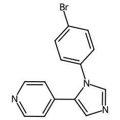 Brc1ccc(-n2cncc2-c2ccncc2)cc1